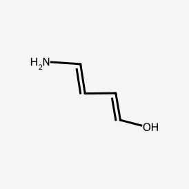 N/C=C/C=C/O